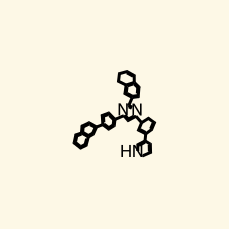 C1=Cc2ccc(-c3nc(-c4ccc(-c5ccc6ccccc6c5)cc4)cc(C4C=C(C5=CNCC=C5)C=CC4)n3)cc2CC1